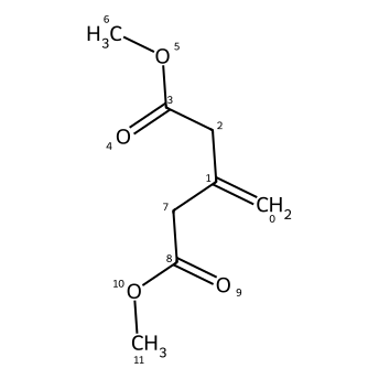 C=C(CC(=O)OC)CC(=O)OC